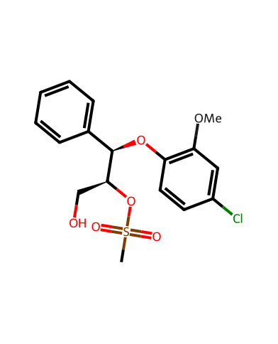 COc1cc(Cl)ccc1O[C@H](c1ccccc1)[C@H](CO)OS(C)(=O)=O